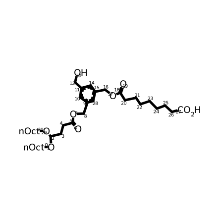 CCCCCCCCOC(CCC(=O)OCc1cc(CO)cc(COC(=O)CCCCCCCC(=O)O)c1)OCCCCCCCC